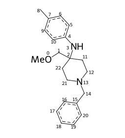 COCC1(Nc2ccc(C)cc2)CCN(Cc2ccccc2)CC1